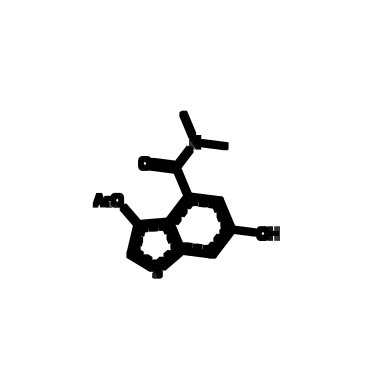 CC(=O)Oc1csc2cc(O)cc(C(=O)N(C)C)c12